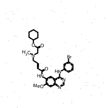 COc1cc2ncnc(Nc3cccc(Br)c3)c2cc1NC(=O)C=CCN(C)CC(=O)OC1CCCCC1